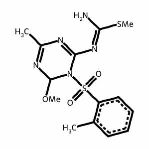 COC1N=C(C)N=C(N=C(N)SC)N1S(=O)(=O)c1ccccc1C